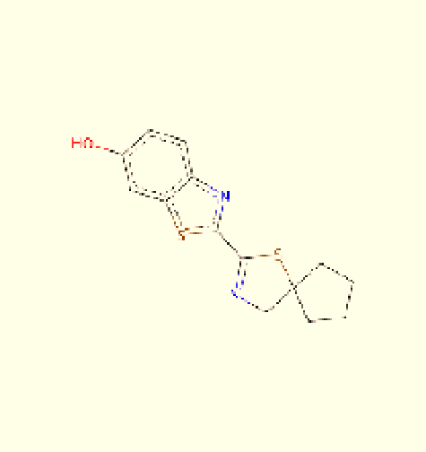 Oc1ccc2nc(C3=NCC4(CCCC4)S3)sc2c1